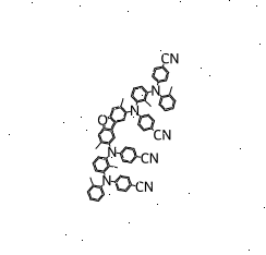 Cc1ccccc1N(c1ccc(C#N)cc1)c1cccc(N(c2ccc(C#N)cc2)c2cc3c(cc2C)oc2cc(C)c(N(c4ccc(C#N)cc4)c4cccc(N(c5ccc(C#N)cc5)c5ccccc5C)c4C)cc23)c1C